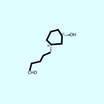 O=CCCCC[C@@H]1CCC[C@H](O)C1